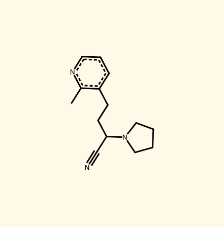 Cc1ncccc1CCC(C#N)N1CCCC1